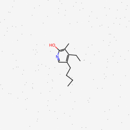 CCCCc1cnc(O)c(C)c1CC